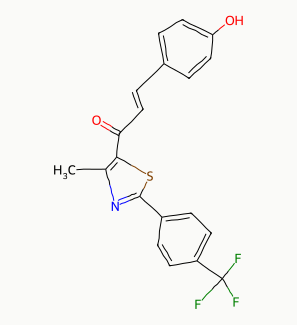 Cc1nc(-c2ccc(C(F)(F)F)cc2)sc1C(=O)/C=C/c1ccc(O)cc1